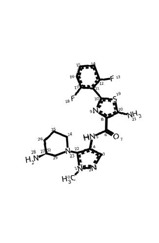 Cn1ncc(NC(=O)c2nc(-c3c(F)cccc3F)sc2N)c1N1CCC[C@H](N)C1